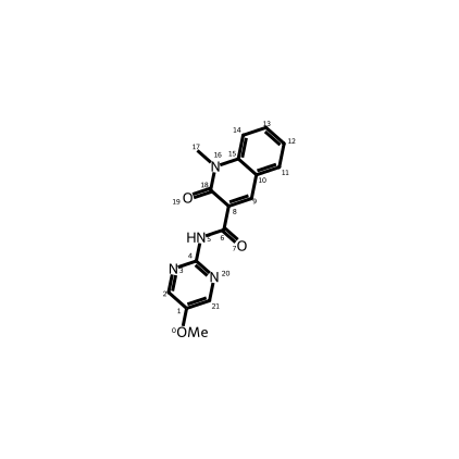 COc1cnc(NC(=O)c2cc3ccccc3n(C)c2=O)nc1